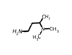 CC([CH]CN)N(C)C